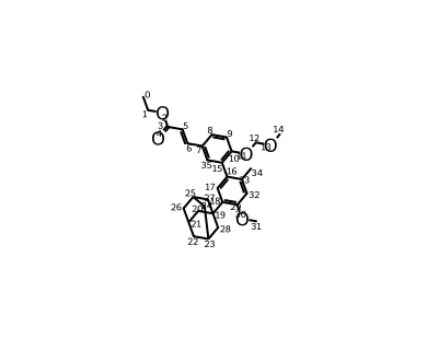 CCOC(=O)C=Cc1ccc(OCOC)c(-c2cc(C34CC5CC(CC(C5)C3)C4)c(OC)cc2C)c1